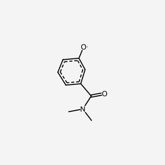 CN(C)C(=O)c1cccc([O])c1